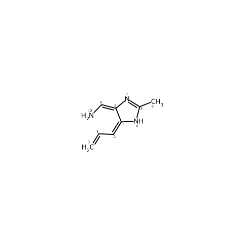 C=C/C=c1/[nH]c(C)n/c1=C/N